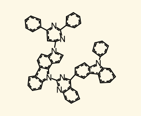 c1ccc(-c2cc(-n3ccc4c3ccc3c5ccccc5n(-c5nc(-c6ccc7c(c6)c6ccccc6n7-c6ccccc6)c6ccccc6n5)c34)nc(-c3ccccc3)n2)cc1